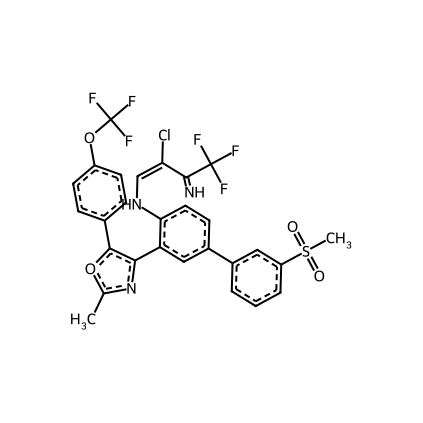 Cc1nc(-c2cc(-c3cccc(S(C)(=O)=O)c3)ccc2N/C=C(/Cl)C(=N)C(F)(F)F)c(-c2ccc(OC(F)(F)F)cc2)o1